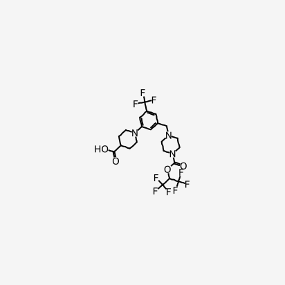 O=C(O)C1CCN(c2cc(CN3CCN(C(=O)OC(C(F)(F)F)C(F)(F)F)CC3)cc(C(F)(F)F)c2)CC1